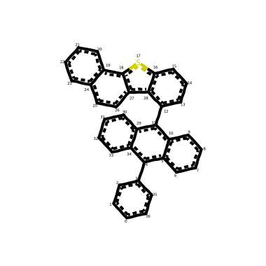 c1ccc(-c2c3ccccc3c(-c3cccc4sc5c6ccccc6ccc5c34)c3ccccc23)cc1